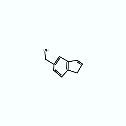 OCc1ccc2c(c1)C=CC2